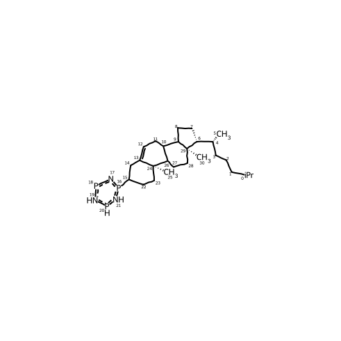 CC(C)CCC[C@@H](C)[C@H]1CCC2C3CC=C4CC(p5np[nH][pH][nH]5)CC[C@]4(C)C3CC[C@@]21C